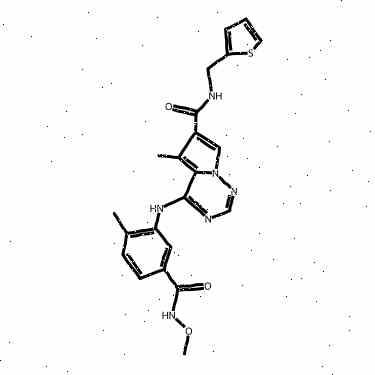 CONC(=O)c1ccc(C)c(Nc2ncnn3cc(C(=O)NCc4cccs4)c(C)c23)c1